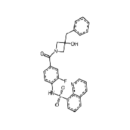 O=C(c1ccc(NS(=O)(=O)c2cccc3cccnc23)c(F)c1)N1CC(O)(Cc2ccccc2)C1